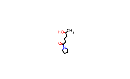 CC(O)CCCC(=O)N1CCCC1